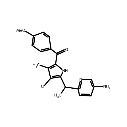 COc1ccc(C(=O)c2[nH]c(C(C)c3ccc(N)cn3)c(Cl)c2C)cc1